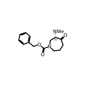 CN[C@H]1CN(C(=O)OCc2ccccc2)CCCC1=O